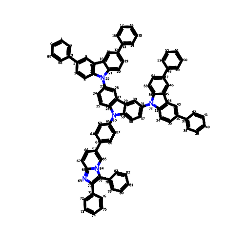 c1ccc(-c2ccc3c(c2)c2cc(-c4ccccc4)ccc2n3-c2ccc3c(c2)c2cc(-n4c5ccc(-c6ccccc6)cc5c5cc(-c6ccccc6)ccc54)ccc2n3-c2ccc(-c3ccc4nc(-c5ccccc5)c(-c5ccccc5)n4c3)cc2)cc1